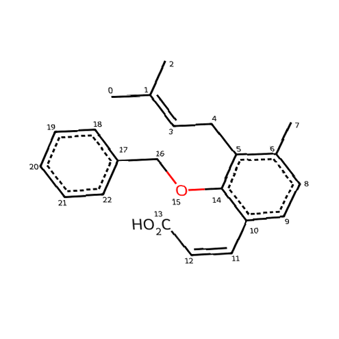 CC(C)=CCc1c(C)ccc(/C=C\C(=O)O)c1OCc1ccccc1